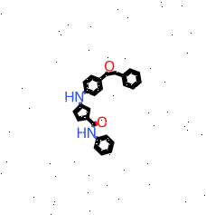 O=C(Nc1ccccc1)C1=CC=C(Nc2ccc(C3OC3c3ccccc3)cc2)C1